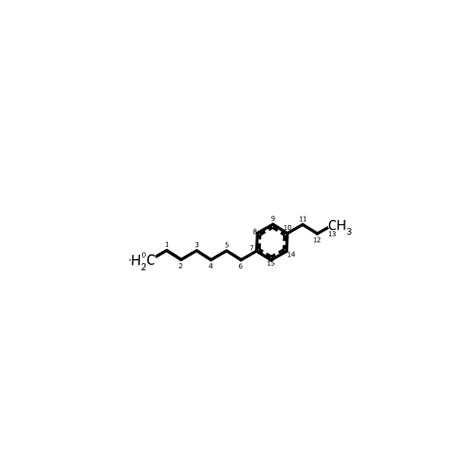 [CH2]CCCCCCc1ccc(CCC)cc1